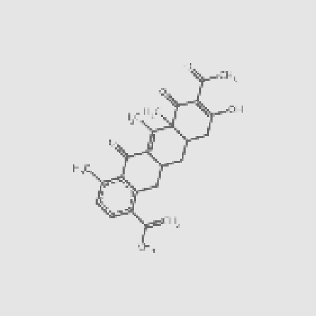 C=C(C)c1ccc(C)c2c1CC1CC3CC(O)=C(C(C)=O)C(=O)C3(C)C(C)=C1C2=O